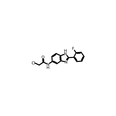 O=C(CCl)Nc1ccc2[nH]c(-c3ccccc3F)nc2c1